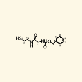 O=C(CNC(=O)OCc1ccccc1)NCCS